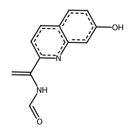 C=C(NC=O)c1ccc2ccc(O)cc2n1